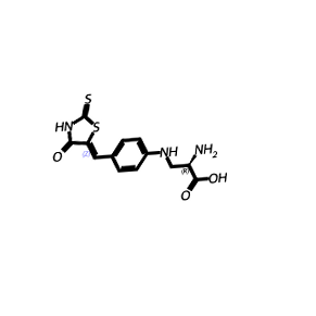 N[C@H](CNc1ccc(/C=C2\SC(=S)NC2=O)cc1)C(=O)O